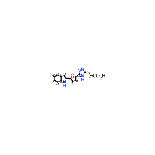 O=C(O)CSc1nnc(-c2ccc(-c3cc4cc(F)ccc4[nH]3)o2)[nH]1